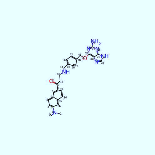 CN(C)c1ccc2cc(C(=O)CCNCc3ccc(COc4nc(N)nc5[nH]cnc45)cc3)ccc2c1